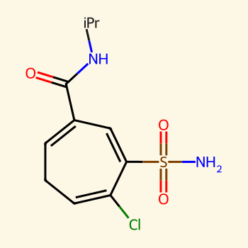 CC(C)NC(=O)C1=CCC=C(Cl)C(S(N)(=O)=O)=C1